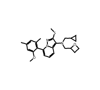 COc1cc(C)cc(C)c1-c1cccc2c(N(CC3CC3)CC3CCO3)c(SC)nn12